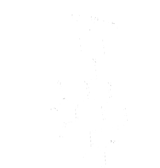 CNC1(C)CCN(c2nc(C3=C(c4c[nH]c5sccc45)C(=O)NC3=O)c3ccccc3n2)CC1